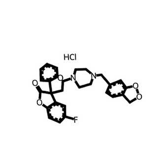 Cl.O=C(CC1(c2ccccc2)C(=O)Oc2ccc(F)cc21)N1CCN(Cc2ccc3c(c2)OOC3)CC1